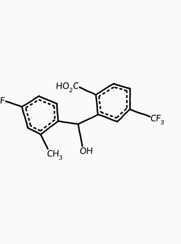 Cc1cc(F)ccc1C(O)c1cc(C(F)(F)F)ccc1C(=O)O